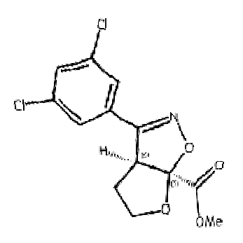 COC(=O)[C@]12OCC[C@H]1C(c1cc(Cl)cc(Cl)c1)=NO2